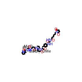 CC[C@H](C)[C@@H]([C@@H](CC(=O)N1CCC[C@H]1[C@H](OC)[C@@H](C)C(=O)N[C@@H](Cc1ccc(NC(=O)CNC(=O)CCCCCN2C(=O)C=CC2=O)cc1)C(=O)OC)OC)N(C)C(=O)[C@@H](NC(=O)C1(C)CCCN1C)C(C)C